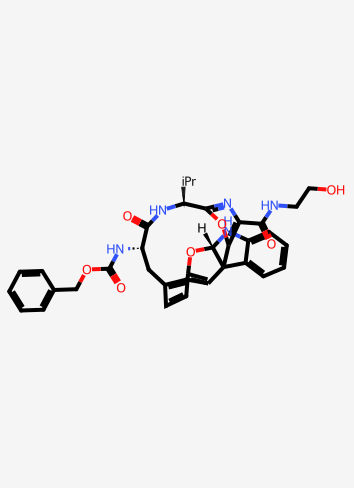 CC(C)[C@@H]1NC(=O)[C@@H](NC(=O)OCc2ccccc2)Cc2ccc3c(c2)C2(c4ccccc4N[C@H]2O3)c2oc1nc2C(=O)NCCO